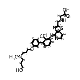 CN(CCCO)CCCOc1cccc(-c2cccc(Nc3nccc4sc(CNCC(=O)O)nc34)c2Cl)c1